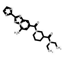 CCN(CC)C(=O)C1CCCN(C(=O)c2cc(N)n3nc(-c4nccs4)nc3c2)C1